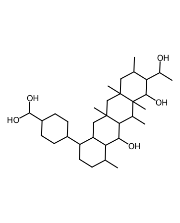 CC(O)C1C(C)CC2(C)CC3(C)CC4C(C5CCC(C(O)O)CC5)CCC(C)C4C(O)C3C(C)C2(C)C1O